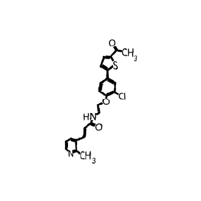 CC(=O)c1ccc(-c2ccc(OCCNC(=O)C=Cc3cccnc3C)c(Cl)c2)s1